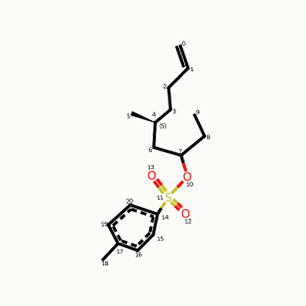 C=CCC[C@H](C)CC(CC)OS(=O)(=O)c1ccc(C)cc1